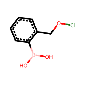 OB(O)c1ccccc1COCl